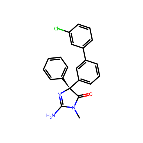 CN1C(=O)[C@@](c2ccccc2)(c2cccc(-c3cccc(Cl)c3)c2)N=C1N